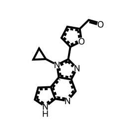 O=Cc1ccc(-c2nc3cnc4[nH]ccc4c3n2C2CC2)o1